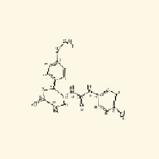 CSc1ccc([C@@H]2CC(=O)NC[C@H]2NC(=O)Nc2ccc(Cl)cc2)cc1